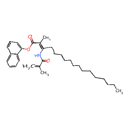 C=C(C)C(=O)NC(CCCCCCCCCCCCCC)=C(C)C(=O)Oc1cccc2ccccc12